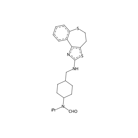 CC(C)N(C=O)C1CCC(CNc2nc3c(s2)CCSc2ccccc2-3)CC1